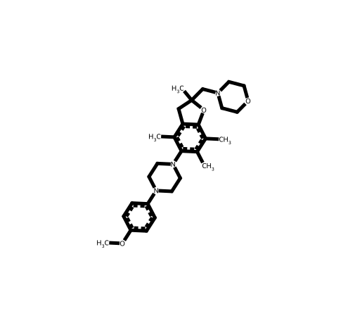 COc1ccc(N2CCN(c3c(C)c(C)c4c(c3C)CC(C)(CN3CCOCC3)O4)CC2)cc1